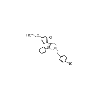 [C-]#[N+]c1ccc(CCN2CCN(c3ccc(OCCO)cc3Cl)[C@H](c3ccccc3)C2)cc1